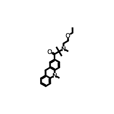 CCOCCN(C)C(C)(C)C(=O)c1ccc2c(c1)Cc1ccccc1N2C